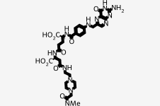 CNC(=O)CN1CCN(CCNC(=O)C[C@H](NC(=O)CC[C@H](NC(=O)c2ccc(NCc3cnc4nc(N)[nH]c(=O)c4n3)cc2)C(=O)O)C(=O)O)CC1